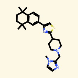 Cn1ccnc1CN1CCC(c2nc(-c3ccc4c(c3)C(C)(C)CCC4(C)C)cs2)CC1